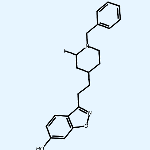 Oc1ccc2c(CCC3CCN(Cc4ccccc4)C(I)C3)noc2c1